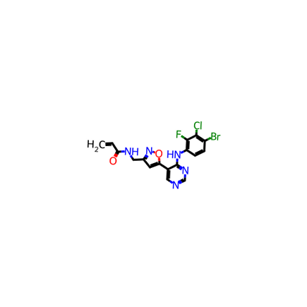 C=CC(=O)NCc1cc(-c2cncnc2Nc2ccc(Br)c(Cl)c2F)on1